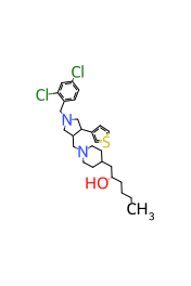 CCCC[C@H](O)CC1CCN(CC2CN(Cc3ccc(Cl)cc3Cl)CC2c2ccsc2)CC1